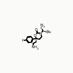 C[C@H](N1CC[C@](CCN)(c2ccc(F)cc2)OC1=O)C(C)(C)C